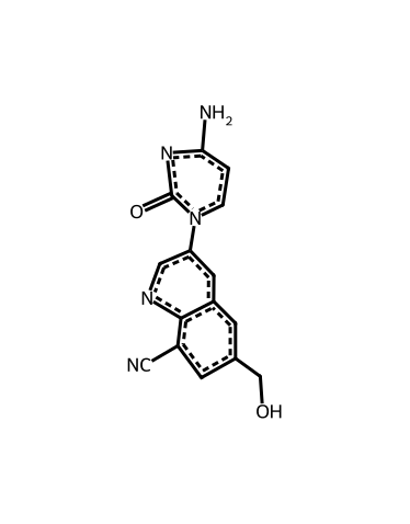 N#Cc1cc(CO)cc2cc(-n3ccc(N)nc3=O)cnc12